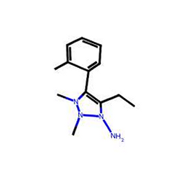 CCC1=C(c2ccccc2C)N(C)N(C)N1N